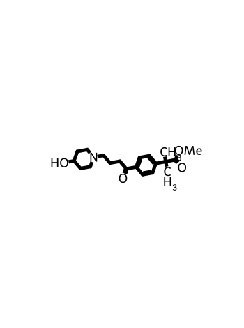 COC(=O)C(C)(C)c1ccc(C(=O)CCCN2CCC(O)CC2)cc1